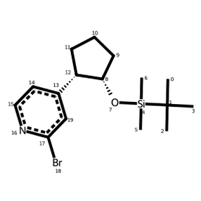 CC(C)(C)[Si](C)(C)O[C@H]1CCC[C@H]1c1ccnc(Br)c1